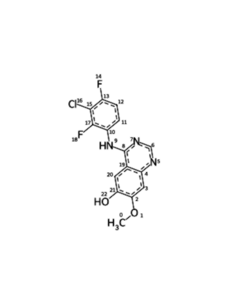 COc1cc2ncnc(Nc3ccc(F)c(Cl)c3F)c2cc1O